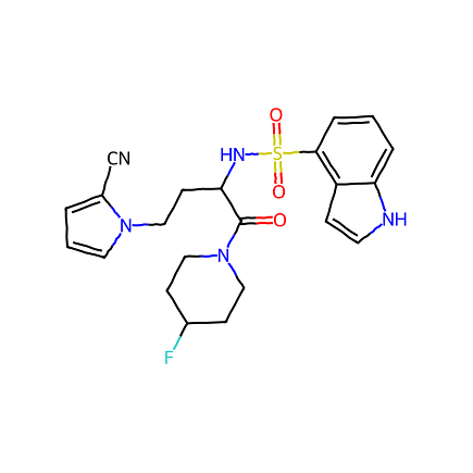 N#Cc1cccn1CCC(NS(=O)(=O)c1cccc2[nH]ccc12)C(=O)N1CCC(F)CC1